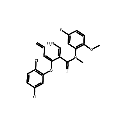 C=C/C=C(Oc1cc(Cl)ccc1Cl)\C(=C/N)C(=O)N(C)c1cc(F)ccc1OC